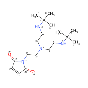 CC(C)(C)NCCN(CCNC(C)(C)C)CCN1C(=O)C=CC1=O